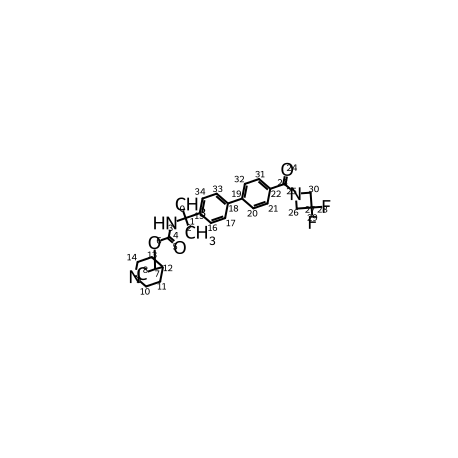 CC(C)(NC(=O)OC1CN2CCC1CC2)c1ccc(-c2ccc(C(=O)N3CC(F)(F)C3)cc2)cc1